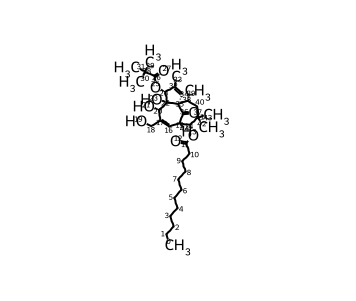 CCCCCCCCCCCC(=O)O[C@@H]1[C@@H]2C=C(CO)[C@@H](O)[C@]3(O)[C@@H](OC(=O)C(C)(C)C)C(C)=C[C@@]3(C2=O)[C@H](C)CC1(C)C